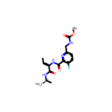 C/C=C(\NC(=O)c1nc(CNC(=O)OC(C)(C)C)ccc1F)C(=O)N[C@@H](C)C(=O)O